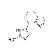 Cc1ncc(C2OCCc3ccsc32)[nH]1